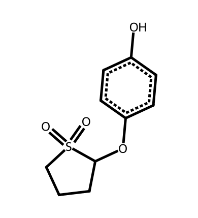 O=S1(=O)CCCC1Oc1ccc(O)cc1